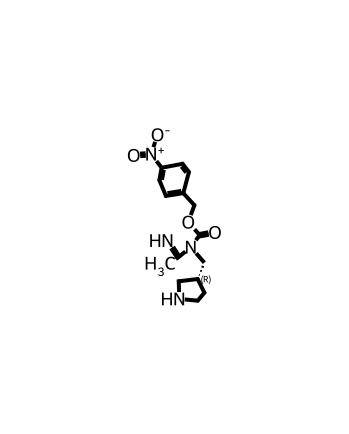 CC(=N)N(C[C@@H]1CCNC1)C(=O)OCc1ccc([N+](=O)[O-])cc1